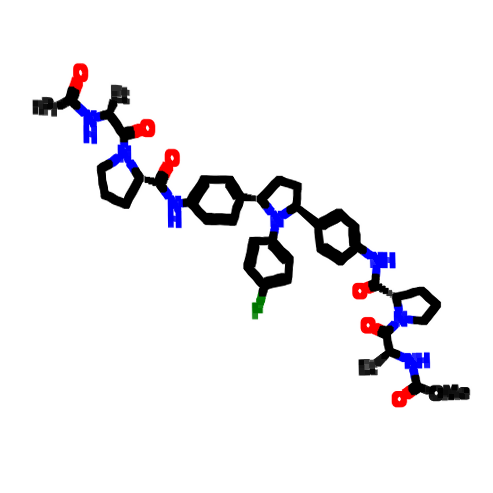 CCCC(=O)N[C@@H](CC)C(=O)N1CCC[C@H]1C(=O)Nc1ccc([C@@H]2CC[C@@H](c3ccc(NC(=O)[C@@H]4CCCN4C(=O)[C@H](CC)NC(=O)OC)cc3)N2c2ccc(F)cc2)cc1